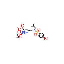 COC(=O)[C@H](CCCCN(CC(C)C)S(=O)(=O)c1ccc(Br)cc1)NC(=O)OC(C)(C)C